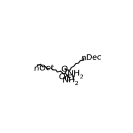 CCCCCCCC/C=C\CCCCCCCCCC(C(=O)CCCCCCCCCCCCCCCCC)C(N)(CC)C(N)=O